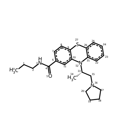 CCCNC(=O)c1ccc2c(c1)N([C@@H](C)CN1CCCC1)c1ccccc1S2